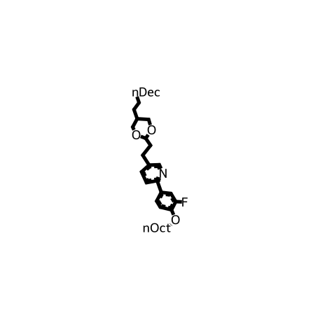 CCCCCCCCCCCCC1COC(CCc2ccc(-c3ccc(OCCCCCCCC)c(F)c3)nc2)OC1